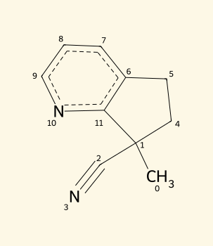 CC1(C#N)CCc2cccnc21